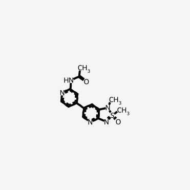 CC(=O)Nc1cc(-c2cnc3c(c2)N(C)S(C)(=O)=N3)ccn1